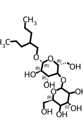 CCCC(CCC)CO[C@@H]1O[C@H](CO)C(OC2O[C@H](CO)C(O)[C@H](O)C2O)[C@H](O)[C@H]1O